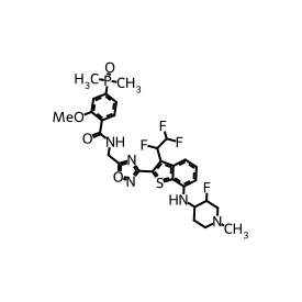 COc1cc(P(C)(C)=O)ccc1C(=O)NCc1nc(-c2sc3c(NC4CCN(C)CC4F)cccc3c2C(F)C(F)F)no1